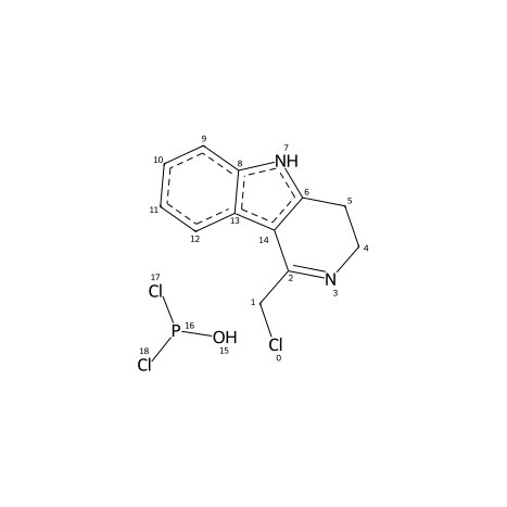 ClCC1=NCCc2[nH]c3ccccc3c21.OP(Cl)Cl